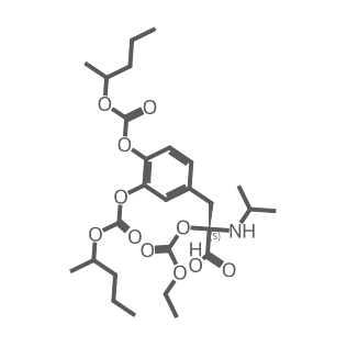 CCCC(C)OC(=O)Oc1ccc(C[C@](NC(C)C)(OC(=O)OCC)C(=O)O)cc1OC(=O)OC(C)CCC